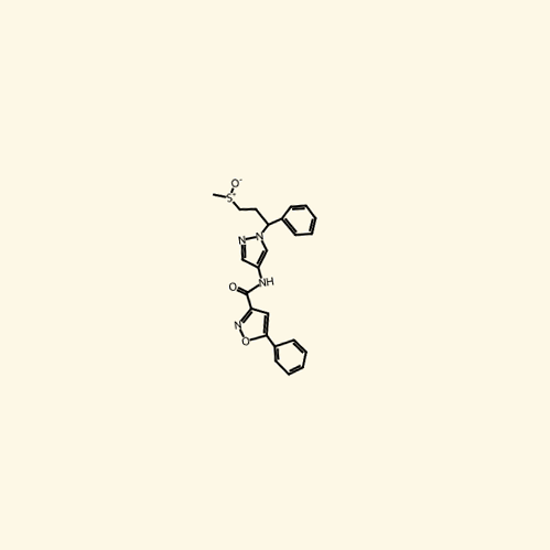 C[S+]([O-])CCC(c1ccccc1)n1cc(NC(=O)c2cc(-c3ccccc3)on2)cn1